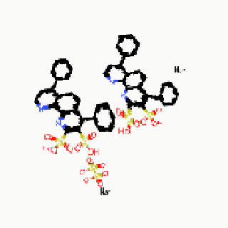 O=S(=O)(O)c1nc2c(ccc3c(-c4ccccc4)ccnc32)c(-c2ccccc2)c1S(=O)(=O)O.O=S(=O)(O)c1nc2c(ccc3c(-c4ccccc4)ccnc32)c(-c2ccccc2)c1S(=O)(=O)O.O=S(=O)([O-])S(=O)(=O)[O-].[Na+].[Na+]